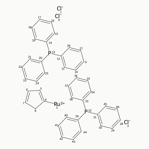 [Cl-].[Cl-].[Cl-].[Ru+3][C]1=CC=CC1.c1ccc(P(c2ccccc2)c2ccccc2)cc1.c1ccc(P(c2ccccc2)c2ccccc2)cc1